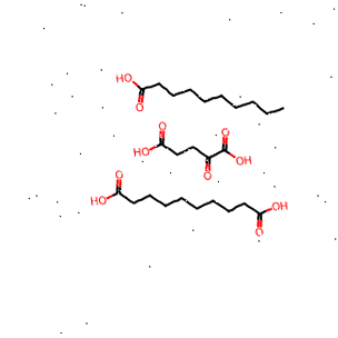 CCCCCCCCCC(=O)O.O=C(O)CCC(=O)C(=O)O.O=C(O)CCCCCCCCC(=O)O